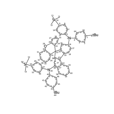 CC(C)(C)c1ccc(N(c2ccc([Si](C)(C)C)cc2)c2ccc3c(c2)C2(c4ccccc4Oc4ccccc42)c2cc(N(c4ccc(C(C)(C)C)cc4)c4ccc([Si](C)(C)C)cc4)c4ccccc4c2-3)cc1